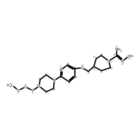 COOSN1CCN(c2ccc(OCC3CCN(/C(N)=N/O)CC3)cn2)CC1